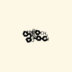 Cc1ccc(S(=O)(=O)N[C@H](c2ccccc2)[C@H](NC(=O)c2ccc(-c3ccncc3)cc2)c2ccccc2)cc1